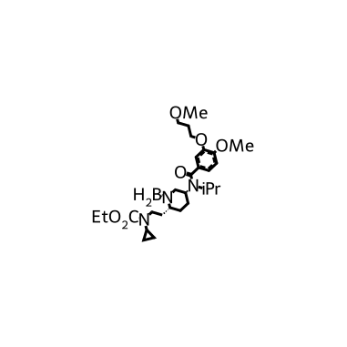 BN1C[C@H](N(C(=O)c2ccc(OC)c(OCCCOC)c2)C(C)C)CC[C@@H]1CCN(C(=O)OCC)C1CC1